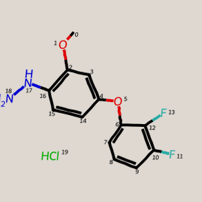 COc1cc(Oc2cccc(F)c2F)ccc1NN.Cl